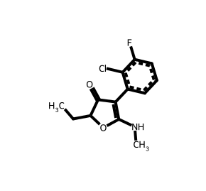 CCC1OC(NC)=C(c2cccc(F)c2Cl)C1=O